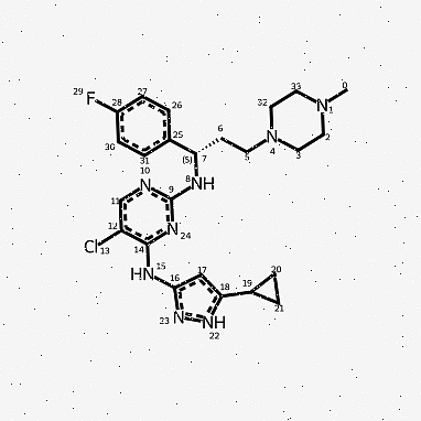 CN1CCN(CC[C@H](Nc2ncc(Cl)c(Nc3cc(C4CC4)[nH]n3)n2)c2ccc(F)cc2)CC1